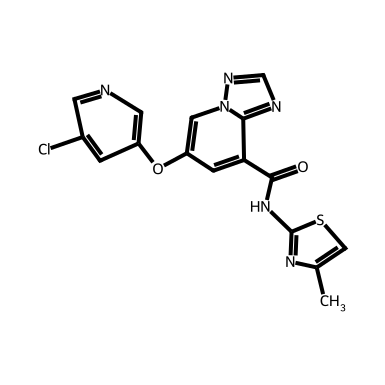 Cc1csc(NC(=O)c2cc(Oc3cncc(Cl)c3)cn3ncnc23)n1